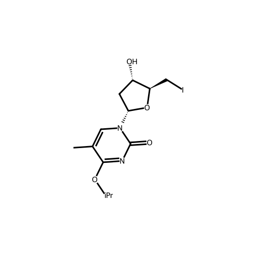 Cc1cn([C@@H]2C[C@H](O)[C@@H](CI)O2)c(=O)nc1OC(C)C